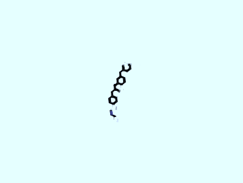 Cc1nc2ccc(Cc3ccc(C(F)(F)F)nc3)cc2c(C)c1Cc1ccc(N/C=C\C=N)cc1